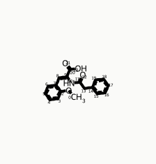 COc1ccccc1/C=C(\NC(=O)Cc1ccccc1)C(=O)O